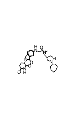 CN(CC1CN(I)N(C2CCCCCC2)C1)C(=O)CNc1ccc2c(c1)C(=O)N(C1CCC(=O)NC1=O)C2